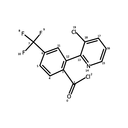 O=C(Cl)c1ccc(C(F)(F)F)cc1-c1ncccc1Cl